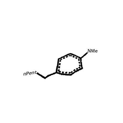 CCCCCCc1ccc(NC)cc1